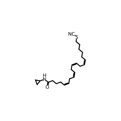 N#CSCCCCC/C=C\C/C=C\C/C=C\C/C=C\CCCC(=O)NC1CC1